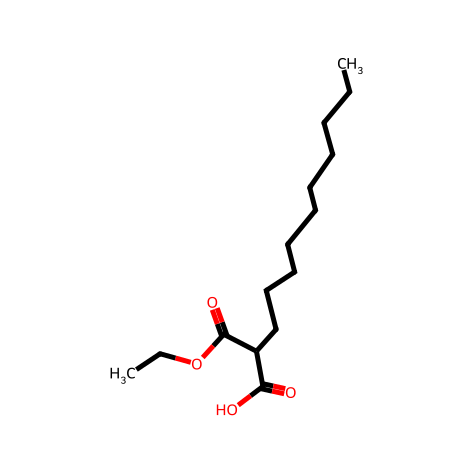 CCCCCCCCCCC(C(=O)O)C(=O)OCC